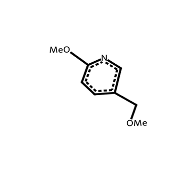 COCc1ccc(OC)nc1